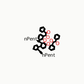 CCCCCC#Cc1ccccc1-c1ccc(Oc2ccccc2C(=O)C(=O)c2ccccc2)c(Oc2ccccc2C(=O)C(=O)c2ccccc2)c1C#CCCCCC